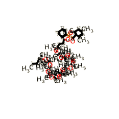 CCCC[Si](C)(C)O[Si](C)(C)O[Si](C)(C)O[Si](C)(C)O[Si](C)(C)O[Si](C)(C)O[Si](C)(C)O[Si](C)(C)O[Si](C)(C)O[Si](C)(C)O[Si](C)(C)O[Si](C)(C)CCCOP(=O)(C(=O)c1c(C)cc(C)cc1C)c1ccccc1